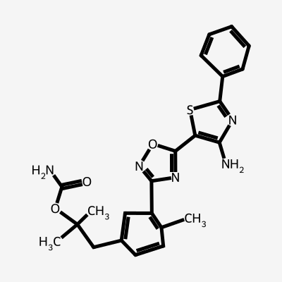 Cc1ccc(CC(C)(C)OC(N)=O)cc1-c1noc(-c2sc(-c3ccccc3)nc2N)n1